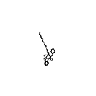 CCCCCCCCCCCCCC(O)C(Cc1ccccc1)C(=O)n1nnc2ccccc21